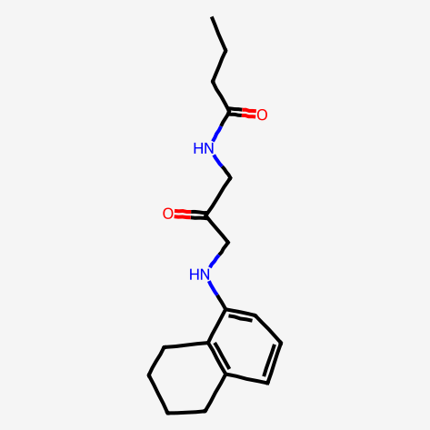 CCCC(=O)NCC(=O)CNc1cccc2c1CCCC2